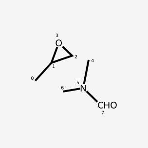 CC1CO1.CN(C)C=O